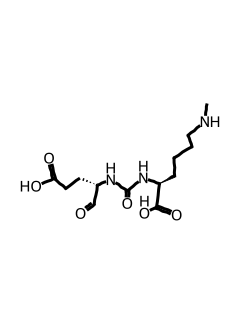 CNCCCC[C@H](NC(=O)N[C@H](C=O)CCC(=O)O)C(=O)O